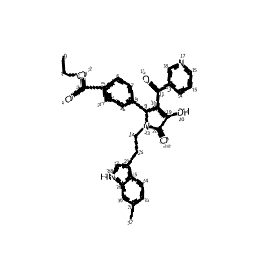 CCOC(=O)c1ccc(C2C(C(=O)c3cccnc3)=C(O)C(=O)N2CCc2c[nH]c3cc(C)ccc23)cc1